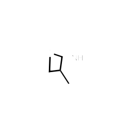 CC1COC1.N